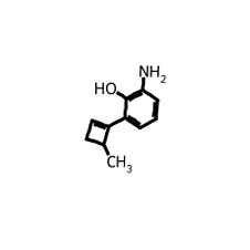 CC1CC=C1c1cccc(N)c1O